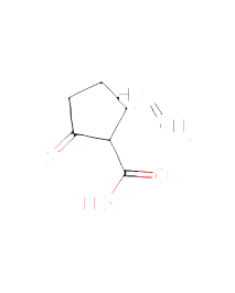 C=C.O=C(O)C1CCCC1=O